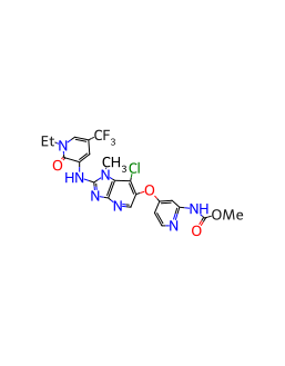 CCn1cc(C(F)(F)F)cc(Nc2nc3ncc(Oc4ccnc(NC(=O)OC)c4)c(Cl)c3n2C)c1=O